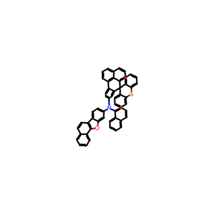 c1ccc2c(c1)Sc1ccccc1C21c2cc(N(c3ccc4c(c3)oc3c5ccccc5ccc43)c3cccc4ccccc34)ccc2-c2cccc3cccc1c23